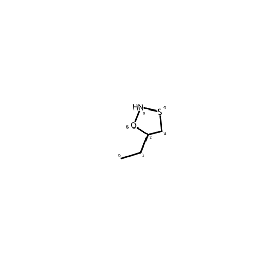 CCC1CSNO1